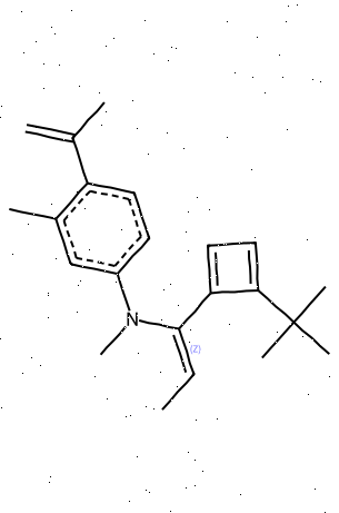 C=C(C)c1ccc(N(C)/C(=C\C)C2=CC=C2C(C)(C)C)cc1C